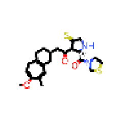 COC1=CCC2=C(C=C1C)CC(CC(=O)C1C(=S)CN[C@@H]1C(=O)N1CCSC1)CC2